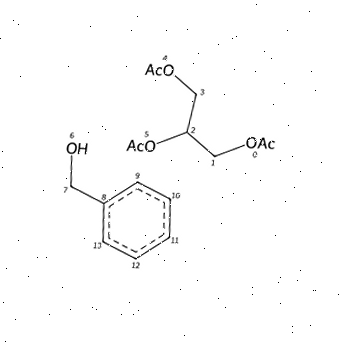 CC(=O)OCC(COC(C)=O)OC(C)=O.OCc1ccccc1